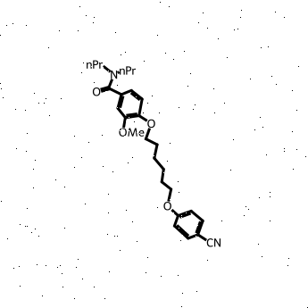 CCCN(CCC)C(=O)c1ccc(OCCCCCCOc2ccc(C#N)cc2)c(OC)c1